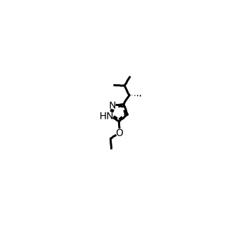 CCOc1cc([C@@H](C)C(C)C)n[nH]1